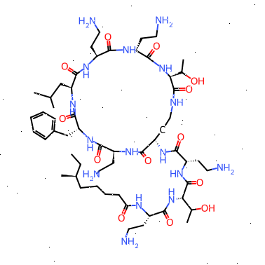 CC[C@H](C)CCCCC(=O)N[C@@H](CCN)C(=O)N[C@H](C(=O)N[C@@H](CCN)C(=O)N[C@H]1CCNC(=O)[C@H](C(C)O)NC(=O)[C@H](CCN)NC(=O)[C@H](CCN)NC(=O)[C@H](CC(C)C)NC(=O)[C@@H](Cc2ccccc2)NC(=O)[C@H](CCN)NC1=O)C(C)O